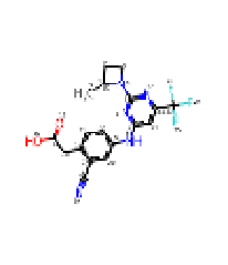 C[C@H]1CCN1c1nc(Nc2ccc(CC(=O)O)c(C#N)c2)cc(C(F)(F)F)n1